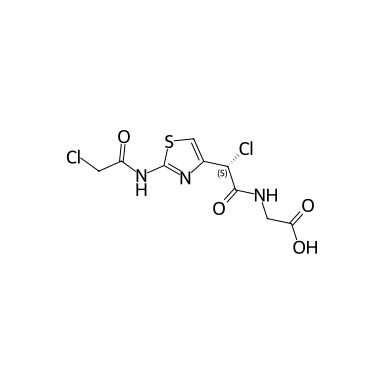 O=C(O)CNC(=O)[C@@H](Cl)c1csc(NC(=O)CCl)n1